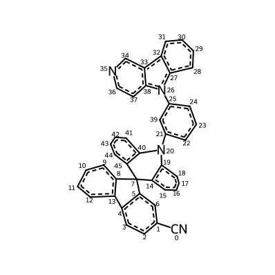 N#Cc1ccc2c(c1)C1(c3ccccc3-2)c2ccccc2N(c2cccc(-n3c4ccccc4c4cnccc43)c2)c2ccccc21